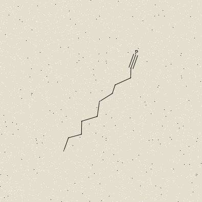 CCCCCCCCCC#P